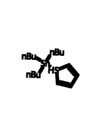 CCC[CH2][Sn]([CH2]CCC)([CH2]CCC)[SH]1C=CC=C1